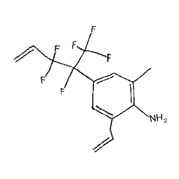 C=Cc1cc(C(F)(C(F)(F)F)C(F)(F)C=C)cc(C)c1N